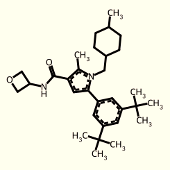 Cc1c(C(=O)NC2COC2)cc(-c2cc(C(C)(C)C)cc(C(C)(C)C)c2)n1CC1CCC(C)CC1